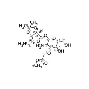 COC(=O)CO[C@@H]1C(N)C(OC2O[C@H](CN)C3OC(C)(C)O[C@@H]23)OC(CO)[C@H]1O